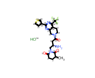 CC1CCC(=O)N(C[C@H](N)CC(=O)N2CCc3c(nc(-c4ccsc4)nc3C(F)(F)F)C2)C1=O.Cl